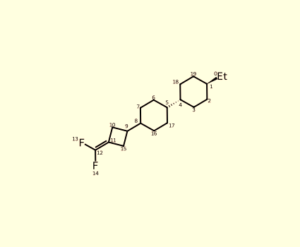 CC[C@H]1CC[C@H](C2CCC(C3CC(=C(F)F)C3)CC2)CC1